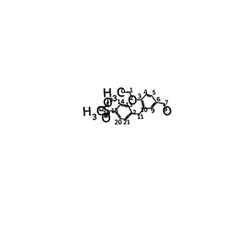 CCOc1ccc(C=O)cc1Cc1ccc(S(C)(=O)=O)cc1